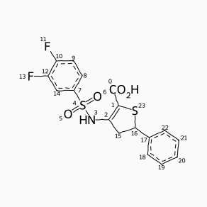 O=C(O)C1=C(NS(=O)(=O)c2ccc(F)c(F)c2)CC(c2ccccc2)S1